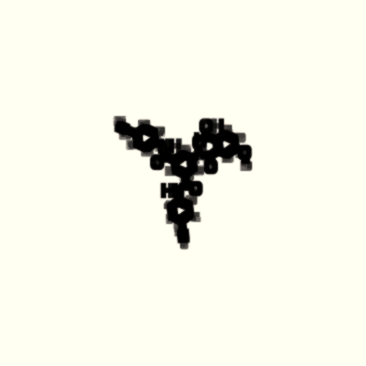 C#Cc1ccc(NC(=O)c2cc(NC(=O)c3cc(OC)ccc3C(=O)O)cc(C(=O)Nc3ccc(C#C)cc3)c2)cc1